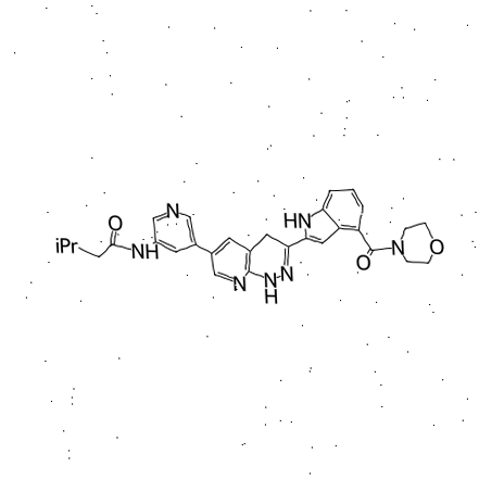 CC(C)CC(=O)Nc1cncc(-c2cnc3c(c2)CC(c2cc4c(C(=O)N5CCOCC5)cccc4[nH]2)=NN3)c1